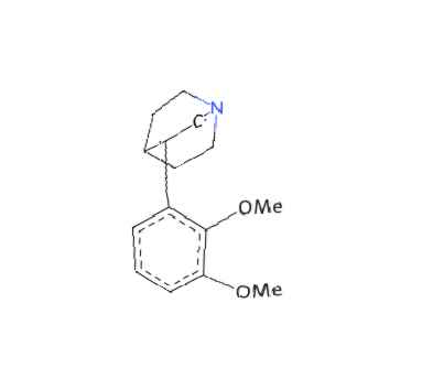 COc1cccc([C]2[CH]N3CCC2CC3)c1OC